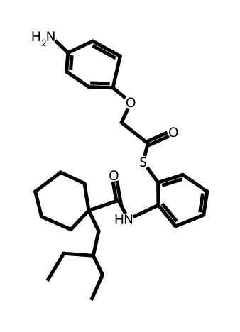 CCC(CC)CC1(C(=O)Nc2ccccc2SC(=O)COc2ccc(N)cc2)CCCCC1